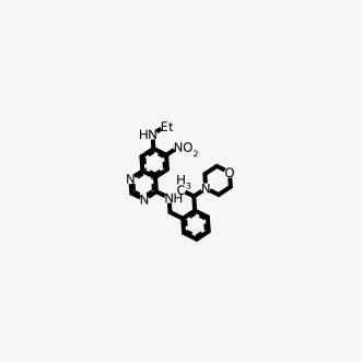 CCNc1cc2ncnc(NCc3ccccc3C(C)N3CCOCC3)c2cc1[N+](=O)[O-]